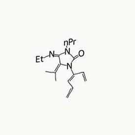 C=C/C=C(\C=C)N1C(=O)N(CCC)/C(=N/CC)C1=C(C)C